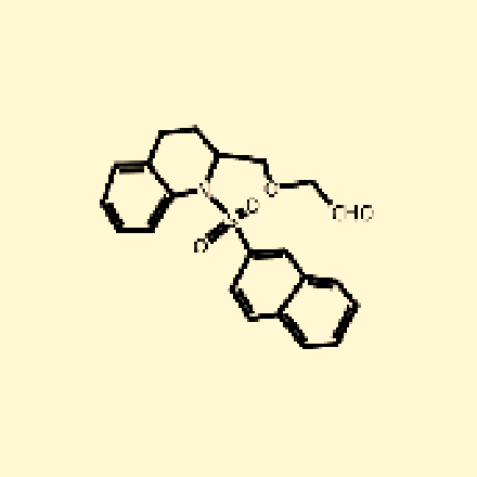 O=CCOCC1CCc2ccccc2N1S(=O)(=O)c1ccc2ccccc2c1